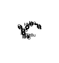 CN1CCN(CCOc2cnc(NC3CCC(Oc4nc(N5CCOCC5)cc5ncc(S(=O)(=O)NC(=O)OC(C)(C)C)cc45)CC3)nc2)CC1